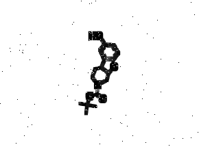 CC(C)(C)OC(=O)N1CCC2c3cc(O)ccc3OC2C1